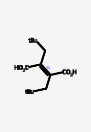 CC(C)(C)C/C(C(=O)O)=C(/CC(C)(C)C)C(=O)O